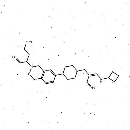 C=CC(CCC=O)N1Cc2cc(C3CCN(C/C(=C/NC4CCC4)N=N)CC3)ccc2CO1